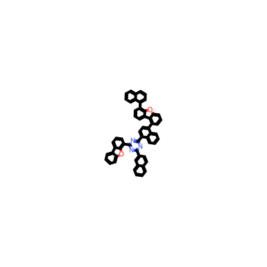 c1ccc2cc(-c3nc(-c4ccc(-c5cccc6oc7c(-c8cccc9ccccc89)cccc7c56)c5ccccc45)nc(-c4cccc5c4oc4ccccc45)n3)ccc2c1